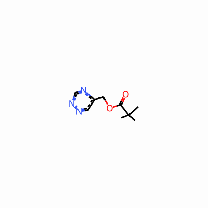 CC(C)(C)C(=O)OCc1cnncn1